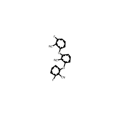 N#Cc1c(F)cccc1Oc1cccc(Oc2cccc(F)c2C#N)c1C#N